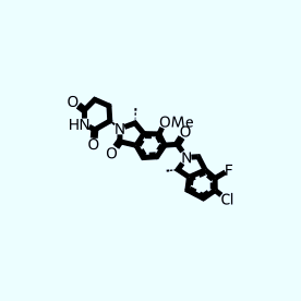 COc1c(C(=O)N2Cc3c(ccc(Cl)c3F)[C@@H]2C)ccc2c1[C@@H](C)N([C@H]1CCC(=O)NC1=O)C2=O